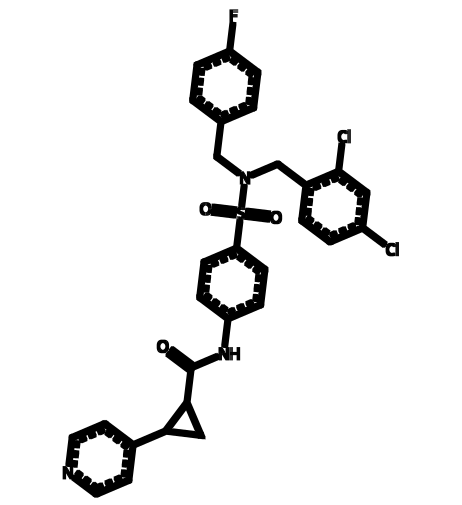 O=C(Nc1ccc(S(=O)(=O)N(Cc2ccc(F)cc2)Cc2ccc(Cl)cc2Cl)cc1)C1CC1c1ccncc1